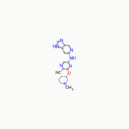 CN1CCCC(Oc2nc(Nc3cc4[nH]cnc4cn3)cnc2C#N)C1